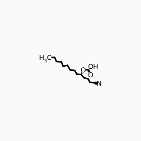 CCCCCCCCCC(CCCC#N)OC(=O)O